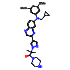 COc1cc(OC)cc(N(CC2CC2)c2ccc3ncc(-c4cnn(C(C)(C)C(=O)N5CCNCC5)c4)nc3c2)c1